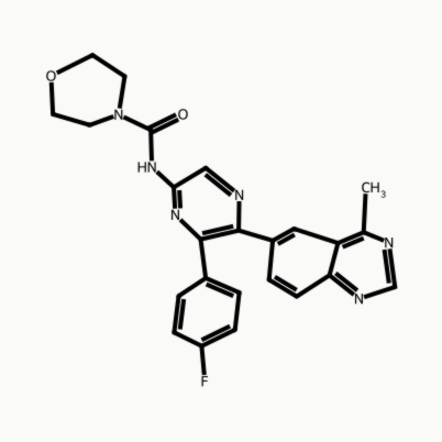 Cc1ncnc2ccc(-c3ncc(NC(=O)N4CCOCC4)nc3-c3ccc(F)cc3)cc12